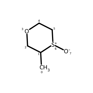 CC1COCC[S+]1[O-]